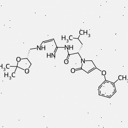 Cc1ccccc1OC1=CC(=O)N([C@@H](CC(C)C)C(=O)NC(=N)/C=C\NC[C@@H]2COC(C)(C)O2)C1